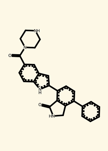 O=C1NCc2c(-c3ccccc3)ccc(-c3cc4cc(C(=O)N5CCNCC5)ccc4[nH]3)c21